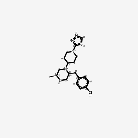 C[C@H]1CN(C2CCN(c3nncs3)CC2)[C@@H](Cc2ccc(Cl)cc2)CO1